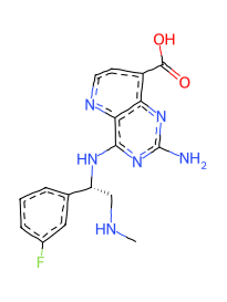 CNC[C@@H](Nc1nc(N)nc2c(C(=O)O)ccnc12)c1cccc(F)c1